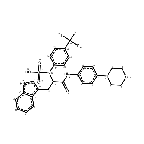 O=C(Nc1ccc(N2CCOCC2)cc1)C(Cc1c[nH]c2ccccc12)N(c1ccc(C(F)(F)F)cc1)S(=O)(=O)O